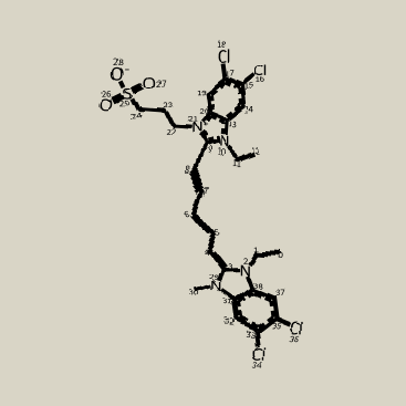 CCN1\C(=C/C=C/C=C/c2n(CC)c3cc(Cl)c(Cl)cc3[n+]2CCCS(=O)(=O)[O-])N(C)c2cc(Cl)c(Cl)cc21